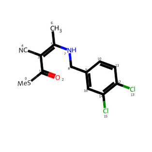 CSC(=O)C(C#N)=C(C)NCc1ccc(Cl)c(Cl)c1